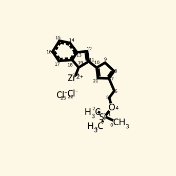 C[Si](C)(C)OCCC1=CCC(C2=Cc3ccccc3[CH]2[Zr+2])=C1.[Cl-].[Cl-]